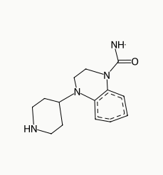 [NH]C(=O)N1CCN(C2CCNCC2)c2ccccc21